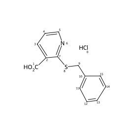 Cl.O=C(O)c1cccnc1SCc1ccccc1